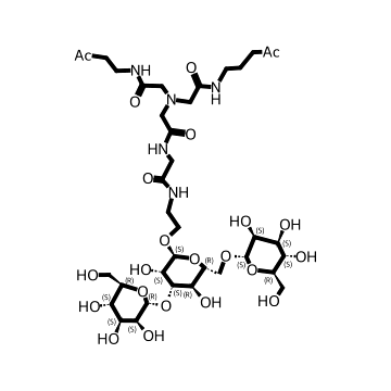 CC(=O)CCCNC(=O)CN(CC(=O)NCCC(C)=O)CC(=O)NCC(=O)NCCO[C@H]1O[C@H](CO[C@H]2O[C@H](CO)[C@@H](O)[C@H](O)[C@@H]2O)[C@@H](O)[C@H](O[C@H]2O[C@H](CO)[C@@H](O)[C@H](O)[C@@H]2O)[C@@H]1O